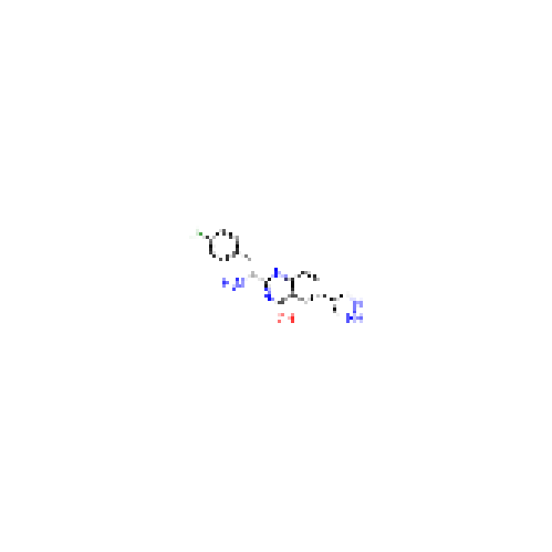 N[C@H](Cc1ccc(Cl)cc1)c1nc(O)c2cc(C3C=NNC3)ccc2n1